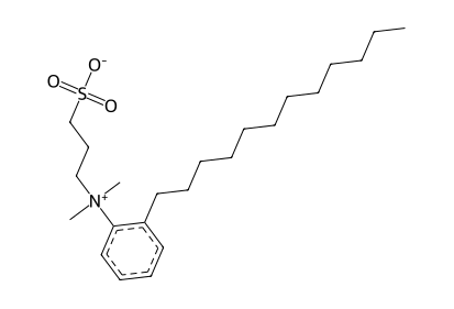 CCCCCCCCCCCCc1ccccc1[N+](C)(C)CCCS(=O)(=O)[O-]